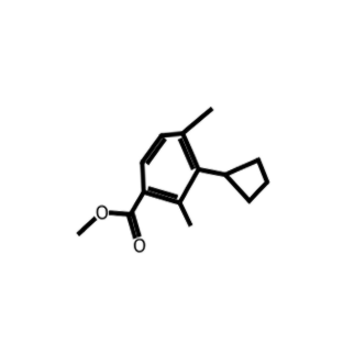 COC(=O)c1ccc(C)c(C2CCC2)c1C